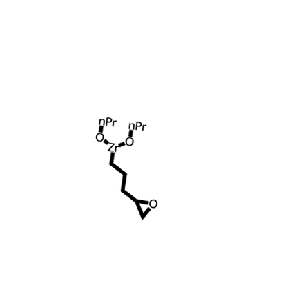 CCC[O][Zr]([CH2]CCC1CO1)[O]CCC